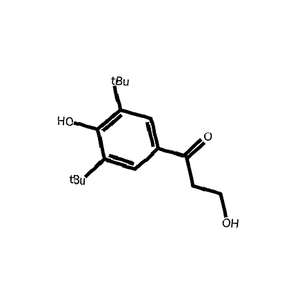 CC(C)(C)c1cc(C(=O)CCO)cc(C(C)(C)C)c1O